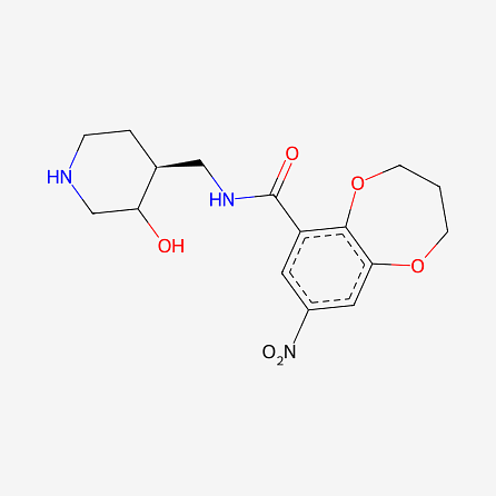 O=C(NC[C@@H]1CCNCC1O)c1cc([N+](=O)[O-])cc2c1OCCCO2